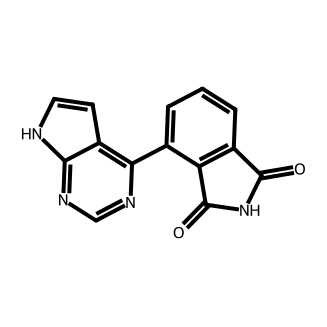 O=C1NC(=O)c2c1cccc2-c1ncnc2[nH]ccc12